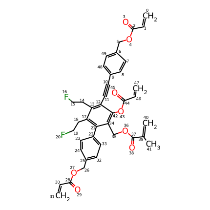 C=CC(=O)OCc1ccc(C#Cc2c(CCF)c(CCF)c(-c3ccc(COC(=O)C=C)cc3)c(COC(=O)C(=C)C)c2OC(=O)C=C)cc1